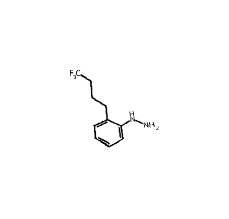 NNc1ccccc1CCCC(F)(F)F